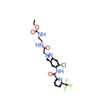 CCOC(=O)NCCNC(=O)Cn1cc2cc(NC(=O)c3cccc(C(F)(F)F)n3)c(Cl)cc2n1